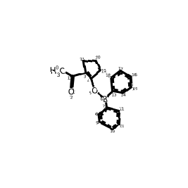 CC(=O)C1=C(OB(c2ccccc2)c2ccccc2)CCC1